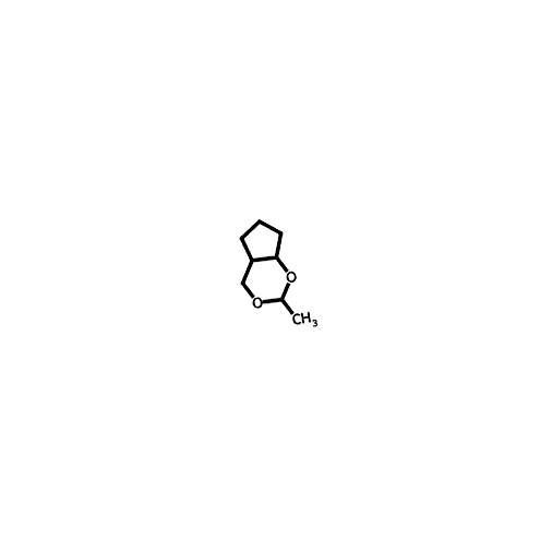 CC1OCC2CCCC2O1